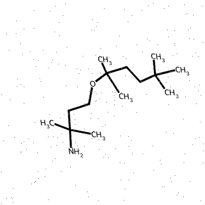 CC(C)(C)CCC(C)(C)OCCC(C)(C)N